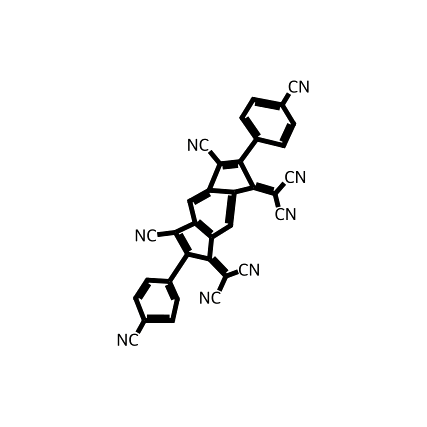 N#CC(C#N)=C1C(c2ccc(C#N)cc2)=C(C#N)c2cc3c(cc21)C(=C(C#N)C#N)C(c1ccc(C#N)cc1)=C3C#N